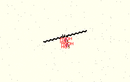 CCCCCCCCCCC[CH2][Mo][CH2]CCCCCCCCCCC.OP(O)(O)=S.OP(O)(O)=S